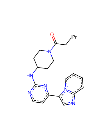 CC(C)CC(=O)N1CCC(Nc2nccc(-c3cnc4ccccn34)n2)CC1